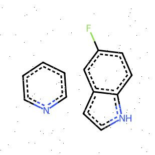 Fc1ccc2[nH]ccc2c1.c1ccncc1